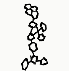 c1ccc(-c2cc(-c3ccc(-c4ccc5c(c4)C(c4ccccc4)(c4ccccc4)c4cc(-c6ccc7ccc8cccc9ccc6c7c89)ccc4-5)cc3)nc(-c3ccccc3)n2)cc1